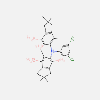 Bc1c(C)c(N(c2cc(Cl)cc(Cl)c2)c2c(B)c(B)c3c(c2C)CC(C)(C)C3)c(B)c2c1CC(C)(C)C2